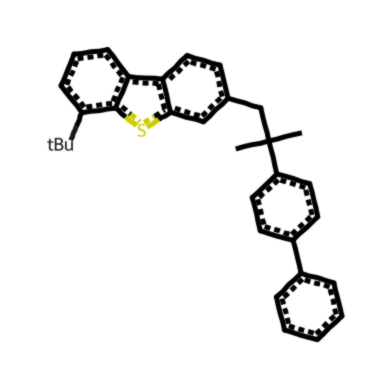 CC(C)(C)c1cccc2c1sc1cc(CC(C)(C)c3ccc(-c4ccccc4)cc3)ccc12